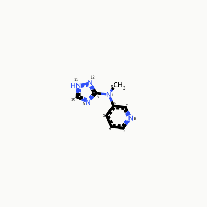 CN(c1cccnc1)c1nc[nH]n1